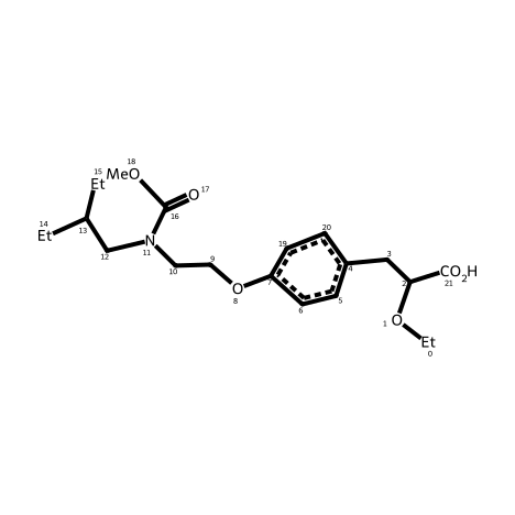 CCOC(Cc1ccc(OCCN(CC(CC)CC)C(=O)OC)cc1)C(=O)O